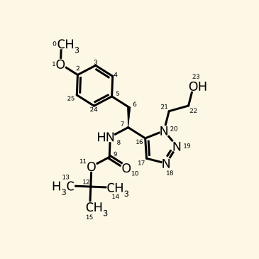 COc1ccc(C[C@H](NC(=O)OC(C)(C)C)c2cnnn2CCO)cc1